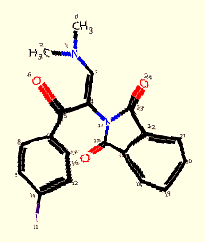 CN(C)C=C(C(=O)c1ccc(I)cc1)N1C(=O)c2ccccc2C1=O